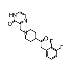 O=C(Cc1cccc(F)c1F)C1CCN(Cc2ncc[nH]c2=O)CC1